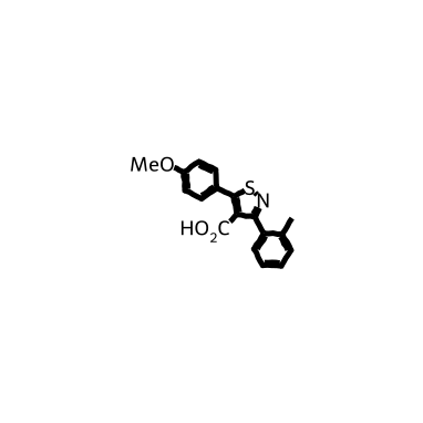 COc1ccc(-c2snc(-c3ccccc3C)c2C(=O)O)cc1